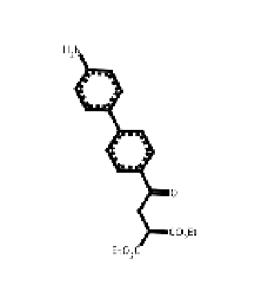 CCOC(=O)C(CC(=O)c1ccc(-c2ccc(N)cc2)cc1)C(=O)OCC